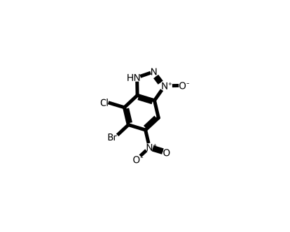 O=[N+]([O-])c1cc2c([nH]n[n+]2[O-])c(Cl)c1Br